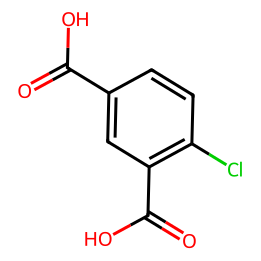 O=C(O)c1ccc(Cl)c(C(=O)O)c1